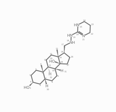 C[C@]12CC[C@H](O)C[C@H]1CC[C@@H]1[C@@H]2CC[C@]2(C)[C@@H](CNNC3=NCCCN3)CC[C@]12O